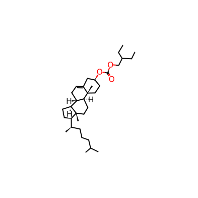 CCC(CC)COC(=O)O[C@H]1CC[C@@]2(C)C(=CC[C@H]3[C@@H]4CC[C@H]([C@H](C)CCCC(C)C)[C@@]4(C)CC[C@@H]32)C1